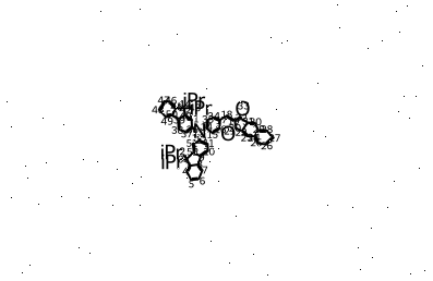 CC(C)C1(C(C)C)c2ccccc2-c2ccc(N(c3ccc(C=C4C(=O)c5cc6ccccc6cc5C4=O)cc3)c3ccc4c(c3)C(C(C)C)(C(C)C)c3ccccc3-4)cc21